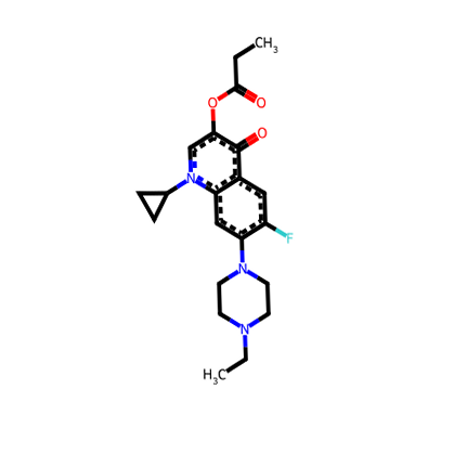 CCC(=O)Oc1cn(C2CC2)c2cc(N3CCN(CC)CC3)c(F)cc2c1=O